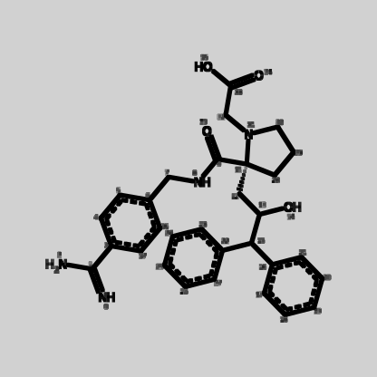 N=C(N)c1ccc(CNC(=O)[C@]2(CC(O)C(c3ccccc3)c3ccccc3)CCCN2CC(=O)O)cc1